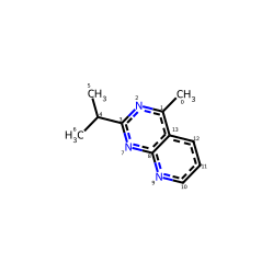 Cc1nc(C(C)C)nc2ncccc12